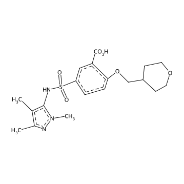 Cc1nn(C)c(NS(=O)(=O)c2ccc(OCC3CCOCC3)c(C(=O)O)c2)c1C